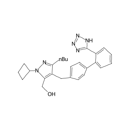 CCCCc1nn(C2CCC2)c(CO)c1Cc1ccc(-c2ccccc2-c2nnn[nH]2)cc1